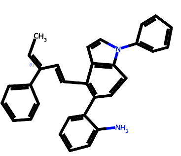 C/C=C(\C=Cc1c(-c2ccccc2N)ccc2c1ccn2-c1ccccc1)c1ccccc1